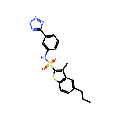 CCCc1ccc2sc(S(=O)(=O)Nc3cccc(C4=N[N]N=N4)c3)c(C)c2c1